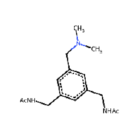 CC(=O)NCc1cc(CNC(C)=O)cc(CN(C)C)c1